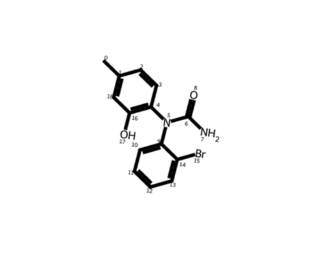 Cc1ccc(N(C(N)=O)c2ccccc2Br)c(O)c1